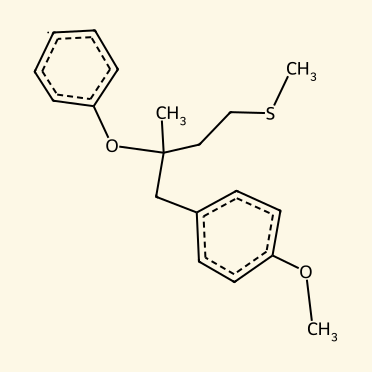 COc1ccc(CC(C)(CCSC)Oc2cc[c]cc2)cc1